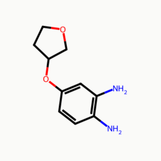 Nc1ccc(OC2CCOC2)cc1N